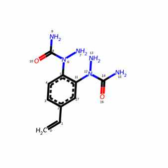 C=Cc1ccc(N(N)C(N)=O)c(N(N)C(N)=O)c1